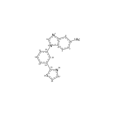 CC(=O)c1ccc2c(c1)ncn2-c1cccc(-c2nccs2)c1